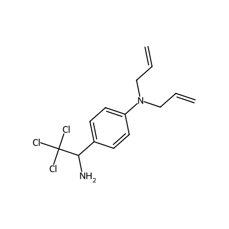 C=CCN(CC=C)c1ccc(C(N)C(Cl)(Cl)Cl)cc1